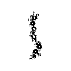 CCN(C)S(=O)(=O)Nc1ccc(F)c(Oc2ccc3ncn(CCC4(F)CCN(C(=O)CN5CCC(c6ccc(NC7CCC(=O)NC7=O)cc6F)CC5)C(I)C4)c(=O)c3c2)c1C#N